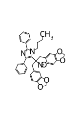 CCCCn1c(-c2ccccc2)nc(-c2ccccc2)c1C(Cc1ccc2c(c1)OCO2)(Cc1ccc2c(c1)OCO2)N=O